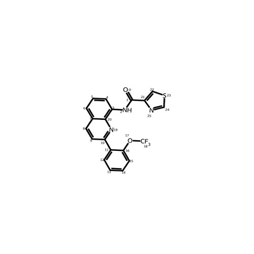 O=C(Nc1cccc2ccc(-c3ccccc3OC(F)(F)F)nc12)c1cscn1